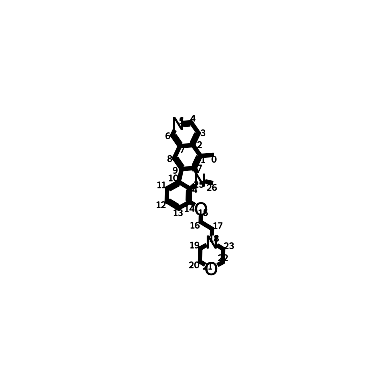 Cc1c2ccncc2cc2c3cccc(OCCN4CCOCC4)c3n(C)c12